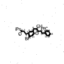 CC(C)C(=O)CCc1cc(CC(C)C(=O)CCc2ccccc2C(F)(F)F)ccc1Br